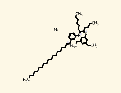 CCCCCCCCCCCCCCCCC/C=C/c1cccc(/N=C(CCCCCC)/C(CCCC)=N\c2cc(CC)cc(CC)c2)c1.[Ni]